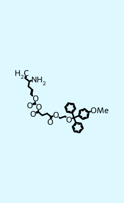 C=CC(N)C/C=C/OC(=O)OC(=O)CCC(=O)OCCOC(c1ccccc1)(c1ccccc1)c1ccc(OC)cc1